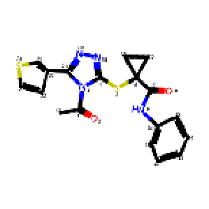 CC(=O)n1c(SC2(C(=O)Nc3ccccc3)CC2)nnc1-c1ccsc1